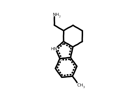 Cc1ccc2[nH]c3c(c2c1)CCCC3CN